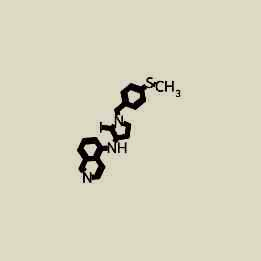 CSc1ccc(CN2CCC(Nc3cccc4cnccc34)C2I)cc1